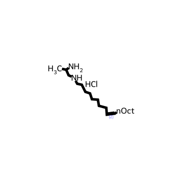 CCCCCCCC/C=C\CCCCCCCCNCC(C)N.Cl